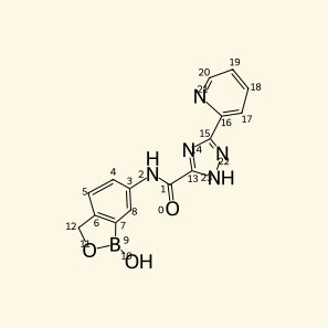 O=C(Nc1ccc2c(c1)B(O)OC2)c1nc(-c2ccccn2)n[nH]1